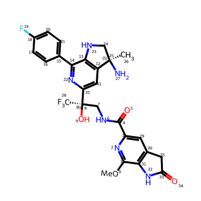 COc1nc(C(=O)NC[C@@](O)(c2cc3c(c(-c4ccc(F)cc4)n2)NC[C@@]3(C)N)C(F)(F)F)cc2c1NC(=O)C2